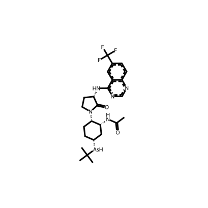 CC(=O)N[C@@H]1C[C@H]([AsH]C(C)(C)C)CC[C@@H]1N1CC[C@H](Nc2ncnc3ccc(C(F)(F)F)cc23)C1=O